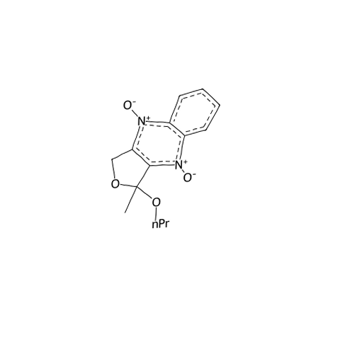 CCCOC1(C)OCc2c1[n+]([O-])c1ccccc1[n+]2[O-]